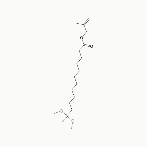 C=C(C)COC(=O)CCCCCCCCCC[Si](C)(OC)OC